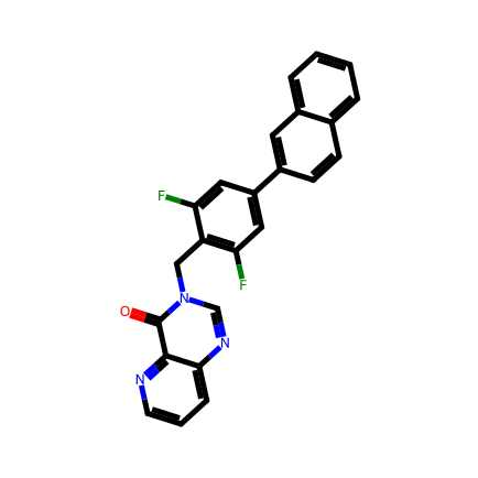 O=c1c2ncccc2ncn1Cc1c(F)cc(-c2ccc3ccccc3c2)cc1F